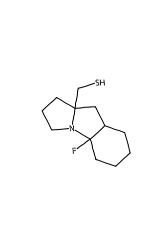 FC12CCCCC1CC1(CS)CCCN12